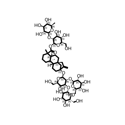 C=C1C[C@]23CC[C@H]4C(C)(C(=O)O[C@@H]5O[C@H](CO)[C@@H](O)[C@H](O)[C@H]5O[C@@H]5O[C@H](C)[C@@H](O)[C@H](O)[C@H]5O)CCC[C@]4(C)[C@H]2CC[C@]1(O[C@@H]1O[C@H](CO)[C@@H](O)[C@H](O[C@@H]2O[C@H](CO)[C@@H](O)[C@H](O)[C@H]2O)[C@H]1O[C@@H]1O[C@H](CO)[C@@H](O)[C@H](O)[C@H]1O)C3